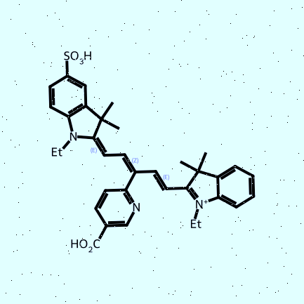 CCN1/C(=C/C=C(/C=C/C2=[N+](CC)c3ccccc3C2(C)C)c2ccc(C(=O)O)cn2)C(C)(C)c2cc(S(=O)(=O)O)ccc21